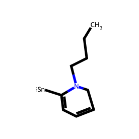 CCCCN1CC=CC=[C]1[Sn]